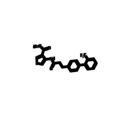 COC(=O)c1cscc1NC(=O)CCc1ccc(-c2ccccc2C(F)(F)F)cc1